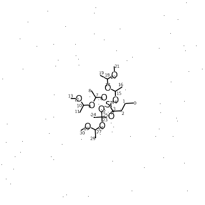 CCCC(=O)[Si](OC(C)OC(C)OC)(OC(C)OC(C)OC)OC(C)(C)OC(C)OC